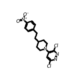 O=[N+]([O-])c1ccc(CCC2CCN(c3cc(Cl)nnc3Cl)CC2)cc1